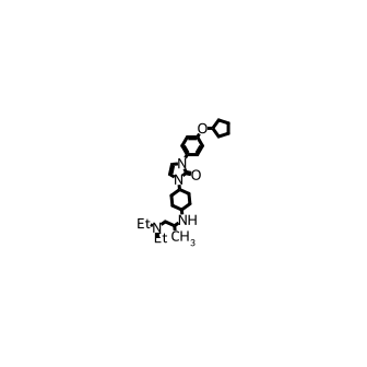 CCN(CC)CC(C)NC1CCC(n2ccn(-c3ccc(OC4CCCC4)cc3)c2=O)CC1